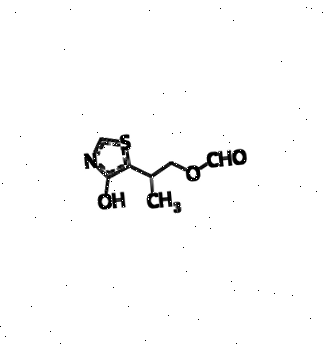 CC(COC=O)c1scnc1O